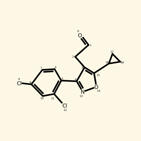 O=CCc1c(-c2ccc(Cl)cc2Cl)noc1C1CC1